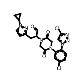 O=CC(Cc1ccn(C2CC2)n1)N1CC(=O)N(c2cc(Cl)ccc2-n2cc(Cl)nn2)CC1=O